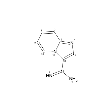 N=C(N)c1cnc2ccccn12